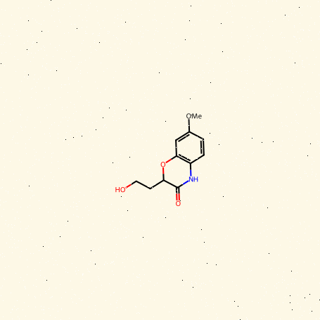 COc1ccc2c(c1)OC(CCO)C(=O)N2